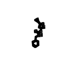 O=C(NCc1ccccc1)Oc1cc(C2CC2)on1